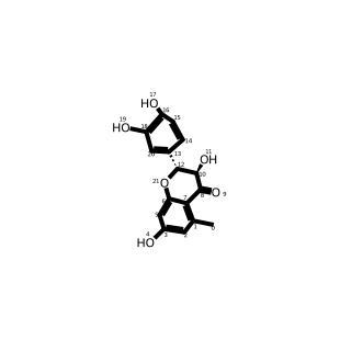 Cc1cc(O)cc2c1C(=O)[C@H](O)[C@@H](c1ccc(O)c(O)c1)O2